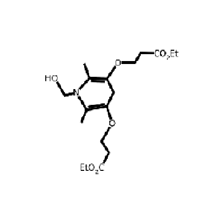 CCOC(=O)CCOC1=C(C)N(CO)C(C)=C(OCCC(=O)OCC)C1